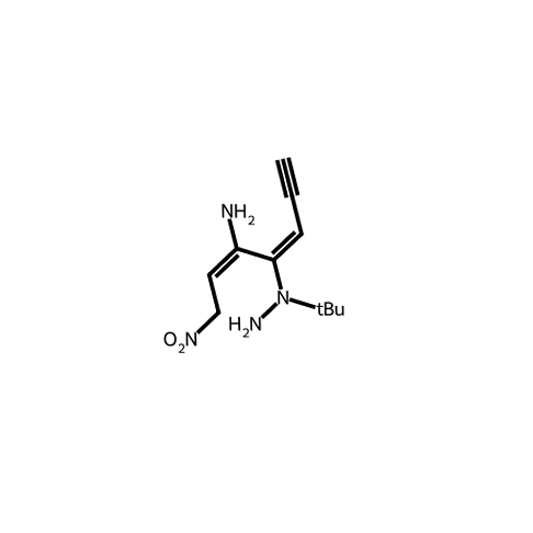 C#C/C=C(\C(N)=C/C[N+](=O)[O-])N(N)C(C)(C)C